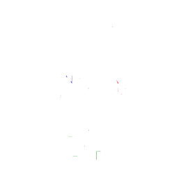 FC(F)(F)c1ccc(O[C@@H]2c3ccccc3C[C@H]2CN2CCCCC2)cc1